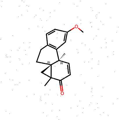 COc1ccc2c(c1)[C@@]1(C)C=CC(=O)C3(C)C[C@]31CC2